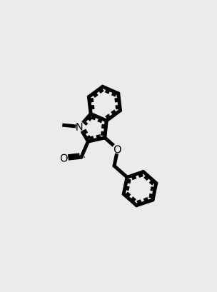 Cn1c([C]=O)c(OCc2ccccc2)c2ccccc21